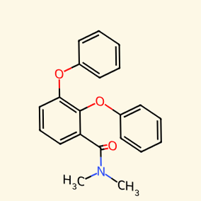 CN(C)C(=O)c1cccc(Oc2ccccc2)c1Oc1ccccc1